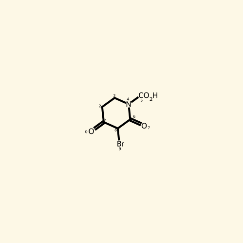 O=C1CCN(C(=O)O)C(=O)C1Br